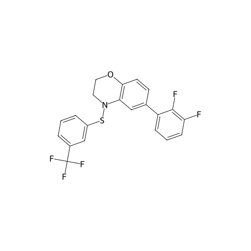 Fc1cccc(-c2ccc3c(c2)N(Sc2cccc(C(F)(F)F)c2)CCO3)c1F